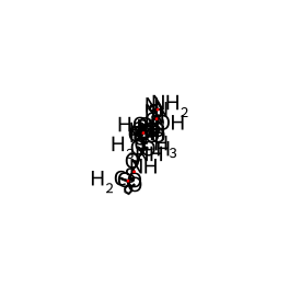 C=C=C(C(=O)SCCNC(=O)CCNC(=O)C(O)C(C)(C)COP(=O)(O)OP(=O)(O)OC[C@H]1O[C@@H](n2cnc3c(N)ncnc32)[C@H](O)[C@@H]1OP(=O)(O)O)C1CCCCC1=O